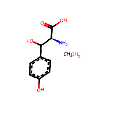 C.N[C@H](C(=O)O)C(O)c1ccc(O)cc1.O